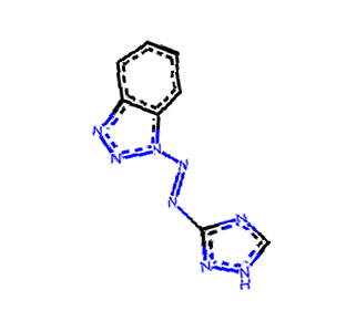 c1ccc2c(c1)nnn2/N=N/c1nc[nH]n1